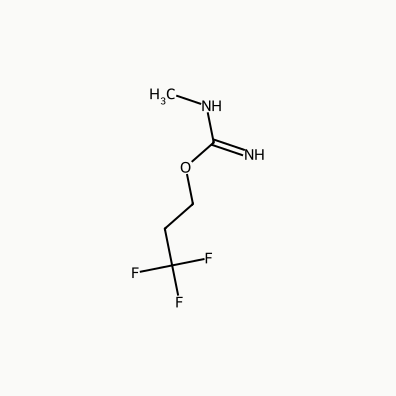 CNC(=N)OCCC(F)(F)F